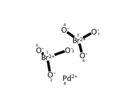 [O-][Br+2]([O-])[O-].[O-][Br+2]([O-])[O-].[Pd+2]